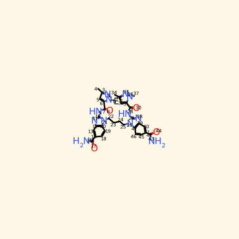 CCn1nc(C)cc1C(=O)Nc1nc2cc(C(N)=O)ccc2n1CCCCn1c(NC(=O)c2cc(C)nn2C)nc2cc(C(N)=O)ccc21